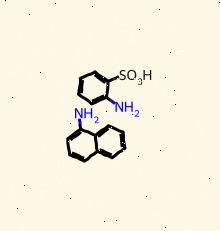 Nc1cccc2ccccc12.Nc1ccccc1S(=O)(=O)O